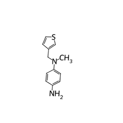 CN(Cc1ccsc1)c1ccc(N)cc1